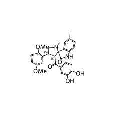 COc1ccc(OC)c([C@H]2CN(C)C3(C(=O)Nc4ccc(C)cc43)[C@H]2C(=O)c2ccc(O)c(O)c2)c1